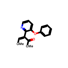 COC=C(C(=O)OC)c1ncccc1Oc1ccccc1